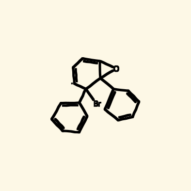 BrC1(c2ccccc2)[C]=CC=C2OC21c1ccccc1